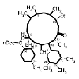 B[C@]1(C)CCC(C)[C@@H](C)CC(C)[C@H](CC)CC(=O)[C@H](C)[C@@H]([C@H]2C[C@@H](C)[C@@H](C)[C@@H](C)C2)C(C)[C@@H]1C1C[C@H](C)CC[C@@H]1OCCCCCCCCCC